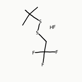 CC(C)(C)SSCC(F)(F)F.F